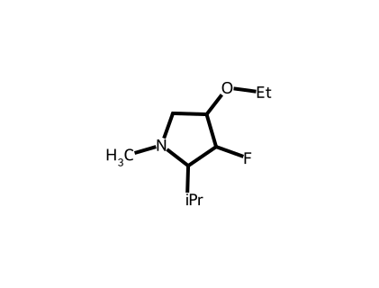 CCOC1CN(C)C(C(C)C)C1F